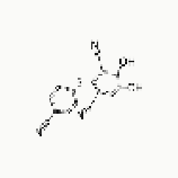 N#Cc1ccc(Sc2c(C#N)cc(O)c(O)c2C#N)cc1